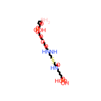 BC1CCC(COP(=O)(O)OCCOCCOCCOCCNC(=N)CCCSSCCC(=O)NCCCCCCOP(=O)(O)O)O1